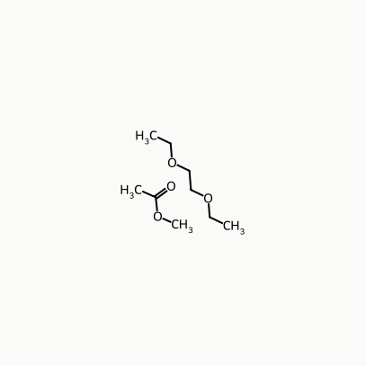 CCOCCOCC.COC(C)=O